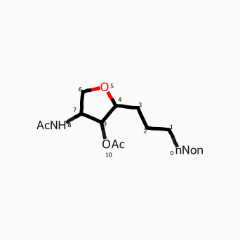 CCCCCCCCCCCCC1OCC(NC(C)=O)C1OC(C)=O